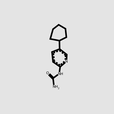 NC(=O)Nc1ccc(C2CCCCC2)cn1